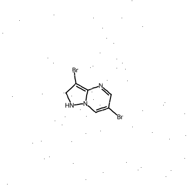 BrC1=CN2N[CH]C(Br)=C2N=C1